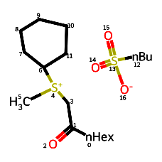 CCCCCCC(=O)C[S+](C)C1CCCCC1.CCCCS(=O)(=O)[O-]